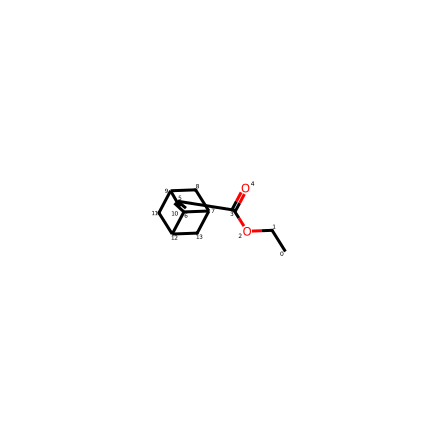 CCOC(=O)C1=C2C3CC(C1)CC2C3